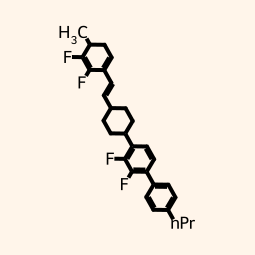 CCCc1ccc(-c2ccc(C3CCC(/C=C/C4=CCC(C)C(F)=C4F)CC3)c(F)c2F)cc1